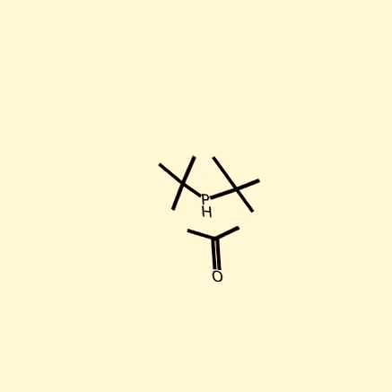 CC(C)(C)PC(C)(C)C.CC(C)=O